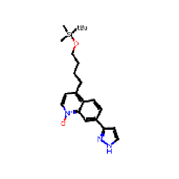 CC(C)(C)[Si](C)(C)OCCCCc1cc[n+]([O-])c2cc(-c3cc[nH]n3)ccc12